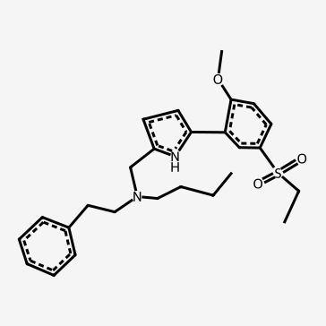 CCCCN(CCc1ccccc1)Cc1ccc(-c2cc(S(=O)(=O)CC)ccc2OC)[nH]1